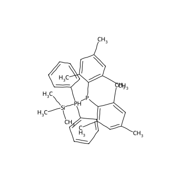 Cc1cc(C)c(P(c2c(C)cc(C)cc2C)[PH](c2ccccc2)(c2ccccc2)[Si](C)(C)C)c(C)c1